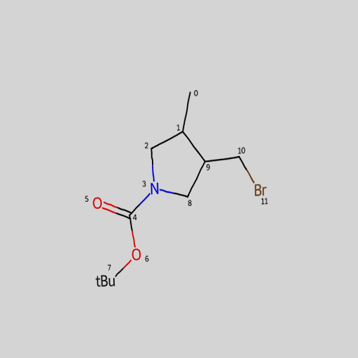 CC1CN(C(=O)OC(C)(C)C)CC1CBr